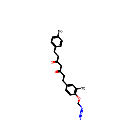 [N-]=[N+]=NCOc1ccc(CCC(=O)CC(=O)CCc2ccc(N=O)cc2)cc1N=O